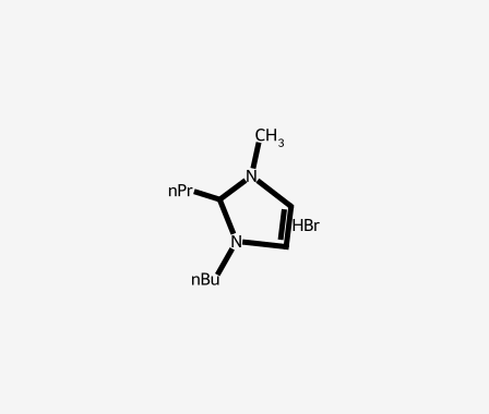 Br.CCCCN1C=CN(C)C1CCC